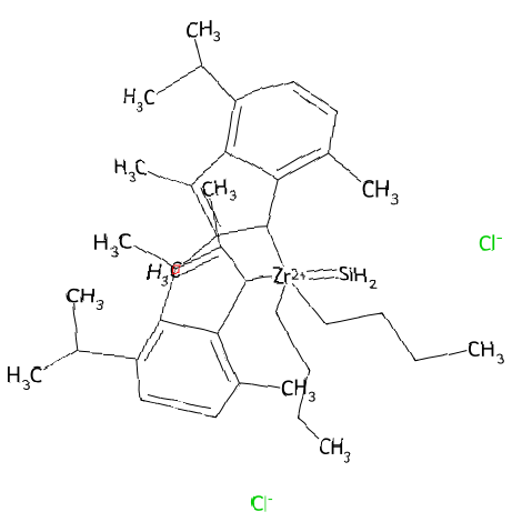 CCC[CH2][Zr+2](=[SiH2])([CH2]CCC)([CH]1C(C)=C(C)c2c(C(C)C)ccc(C)c21)[CH]1C(C)=C(C)c2c(C(C)C)ccc(C)c21.[Cl-].[Cl-]